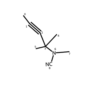 CC#CC(C)(C)N(C)C#N